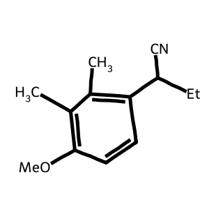 CCC(C#N)c1ccc(OC)c(C)c1C